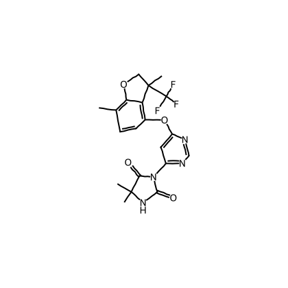 Cc1ccc(Oc2cc(N3C(=O)NC(C)(C)C3=O)ncn2)c2c1OCC2(C)C(F)(F)F